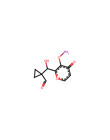 O=CC1(C(O)c2occc(=O)c2OP)CC1